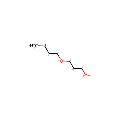 [CH2]CCCOCCCO